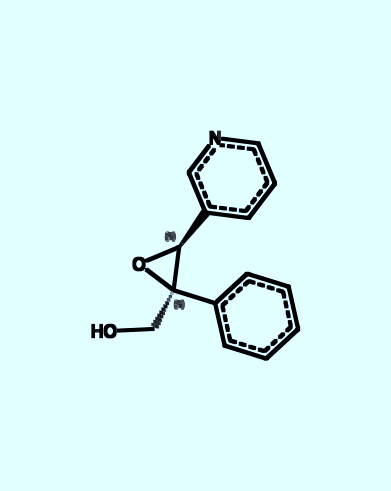 OC[C@]1(c2ccccc2)O[C@H]1c1cccnc1